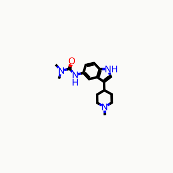 CN1CCC(c2c[nH]c3ccc(NC(=O)N(C)C)cc23)CC1